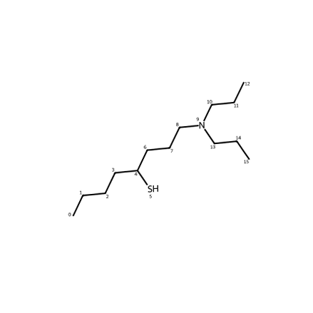 CCCCC(S)CCCN(CCC)CCC